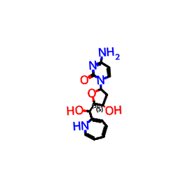 Nc1ccn(C2C[C@H](O)[C@@H](C(O)C3=CC=CC=CN3)O2)c(=O)n1